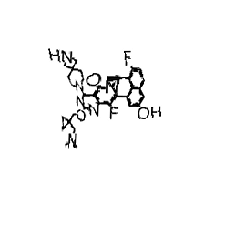 C#Cc1c(F)ccc2cc(O)cc(-c3c(F)c4nc(OCC5(CN(C)C)CC5)nc(N5CCC6(CC5)CNC6)c4c(=O)n3C)c12